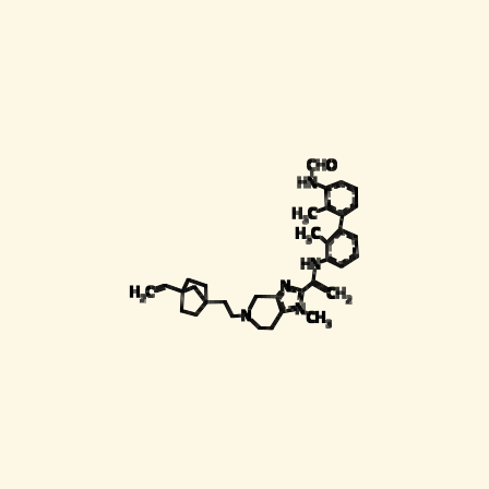 C=CC12CCC(CCN3CCc4c(nc(C(=C)Nc5cccc(-c6cccc(NC=O)c6C)c5C)n4C)C3)(CC1)C2